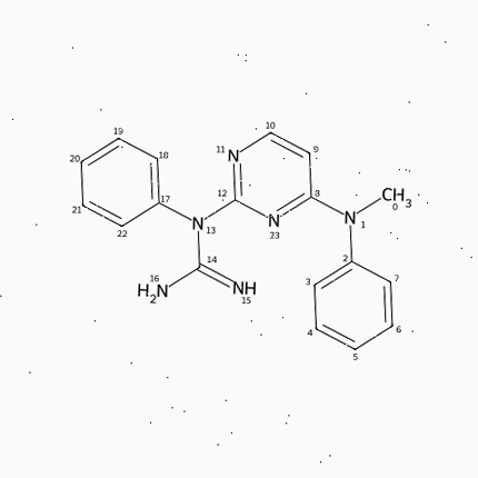 CN(c1ccccc1)c1ccnc(N(C(=N)N)c2ccccc2)n1